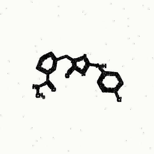 CNC(=O)c1cccc(Cn2sc([AsH]c3ccc(Cl)cc3)nc2=O)c1